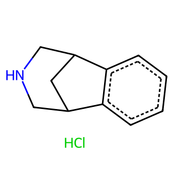 Cl.c1ccc2c(c1)C1CNCC2C1